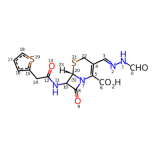 O=CNN=CC1=C(C(=O)O)N2C(=O)C(NC(=O)Cc3cccs3)[C@@H]2SC1